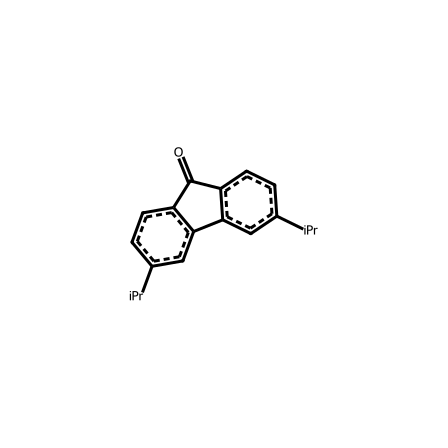 CC(C)c1ccc2c(c1)-c1cc(C(C)C)ccc1C2=O